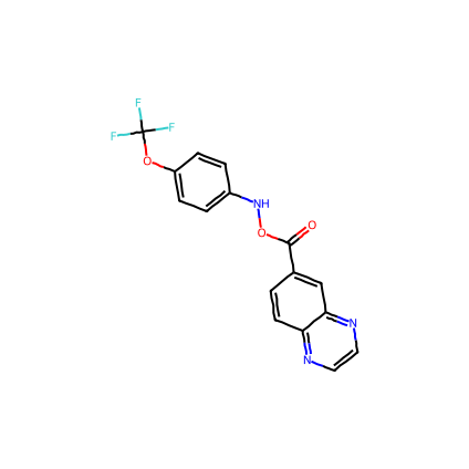 O=C(ONc1ccc(OC(F)(F)F)cc1)c1ccc2nccnc2c1